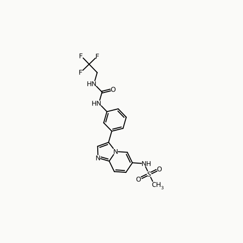 CS(=O)(=O)Nc1ccc2ncc(-c3cccc(NC(=O)NCC(F)(F)F)c3)n2c1